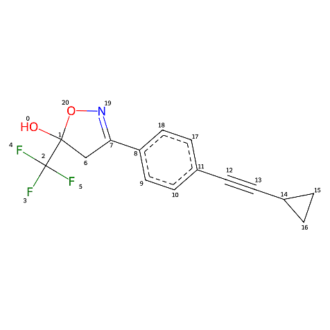 OC1(C(F)(F)F)CC(c2ccc(C#CC3CC3)cc2)=NO1